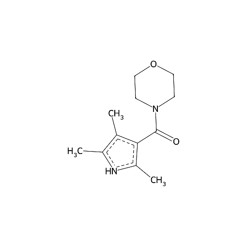 Cc1[nH]c(C)c(C(=O)N2CCOCC2)c1C